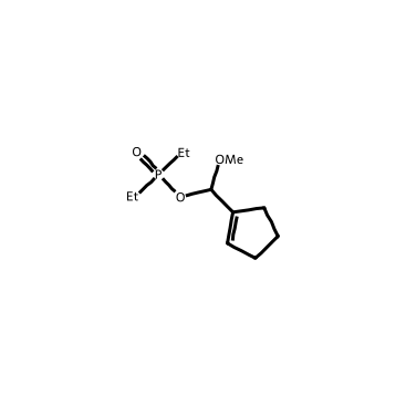 CCP(=O)(CC)OC(OC)C1=CCCC1